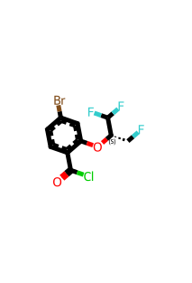 O=C(Cl)c1ccc(Br)cc1O[C@@H](CF)C(F)F